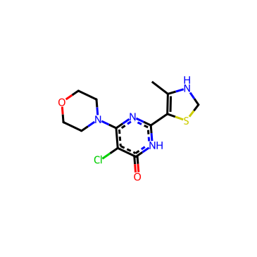 CC1=C(c2nc(N3CCOCC3)c(Cl)c(=O)[nH]2)SCN1